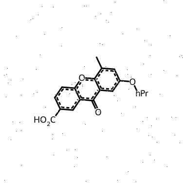 CCCOc1cc(C)c2oc3ccc(C(=O)O)cc3c(=O)c2c1